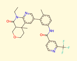 CCN1C(=O)C2COCCC2(C)c2cc(-c3cc(NC(=O)c4ccnc(C(F)(F)F)c4)ccc3C)cnc21